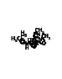 Cc1ccc(S(=O)(=O)N2CCC[C@H]2C(=O)N[C@@H]2CCC(C)(C)C2)c(N2[C@@H](C)COC[C@@H]2C)n1